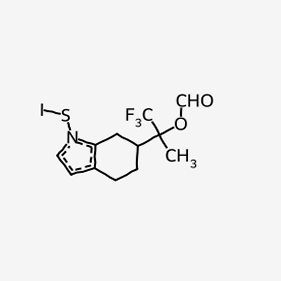 CC(OC=O)(C1CCc2ccn(SI)c2C1)C(F)(F)F